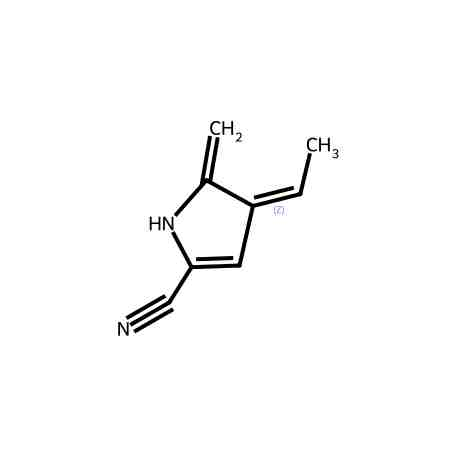 C=c1[nH]c(C#N)c/c1=C/C